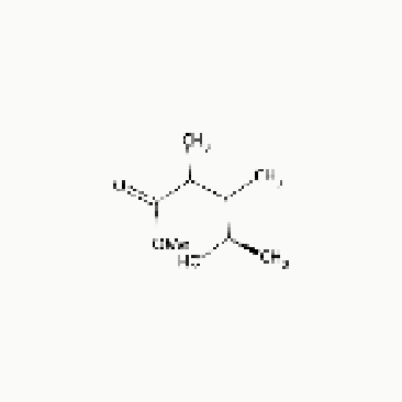 COC(=O)C(C)C(C)[C@@H](C)O